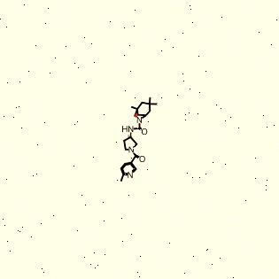 Cc1ccc(C(=O)N2CC[C@@H](NC(=O)N3CC4(C)CC3CC(C)(C)C4)C2)cn1